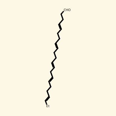 CCC=CCCC=CCC=CCCC=CCCC=CCCC=O